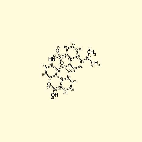 CN(C)c1cccc2c(S(=O)(=O)Nc3ccccc3CCc3cccc(C(=O)O)c3)cccc12